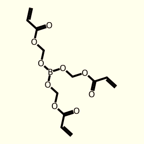 C=CC(=O)OCOB(OCOC(=O)C=C)OCOC(=O)C=C